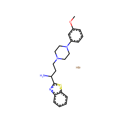 Br.COc1cccc(N2CCN(CCC(N)c3nc4ccccc4s3)CC2)c1